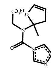 CCOC(=O)CN(C(=O)n1ccnc1)C1(C)CC=CO1